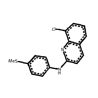 CSc1ccc(Nc2ccc3cccc(Cl)c3n2)cc1